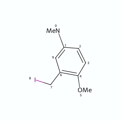 CNc1ccc(OC)c(CI)c1